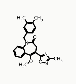 COC1=C(c2nc(C)no2)CC(=O)N(Cc2ccc(C)c(C)c2)c2ccccc21